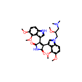 COc1ccc2[nH]cc(C3=C(c4cn(CC(CN(C)C)OC)c5ccc(OC)c(OC)c45)C(=O)NC3=O)c2c1OC